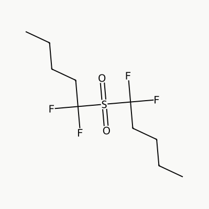 CCCCC(F)(F)S(=O)(=O)C(F)(F)CCCC